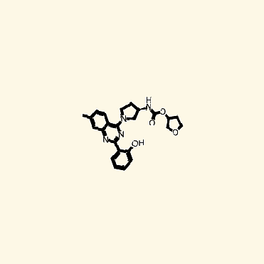 Cc1ccc2c(N3CC[C@@H](NC(=O)OC4CCOC4)C3)nc(-c3ccccc3O)nc2c1